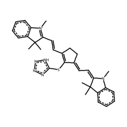 CN1/C(=C/C=C2\CCC(/C=C/C3=[N+](C)c4ccccc4C3(C)C)=C2Sc2nnn[nH]2)C(C)(C)c2ccccc21